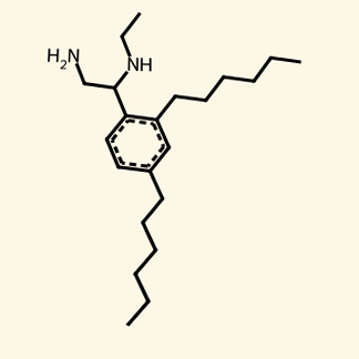 CCCCCCc1ccc(C(CN)NCC)c(CCCCCC)c1